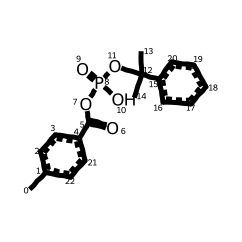 Cc1ccc(C(=O)OP(=O)(O)OC(C)(C)c2ccccc2)cc1